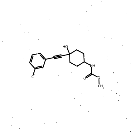 COC(=O)NC1CCC(O)(C#Cc2cccc(Cl)c2)CC1